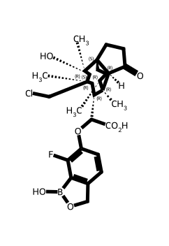 C[C@@H]1CC[C@@]23CCC(=O)[C@H]2[C@@]1(C)[C@H](C(Oc1ccc2c(c1F)B(O)OC2)C(=O)O)C[C@@](C)(CCl)[C@@H](O)[C@@H]3C